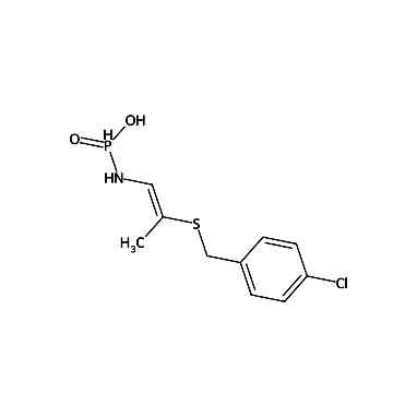 C/C(=C\N[PH](=O)O)SCc1ccc(Cl)cc1